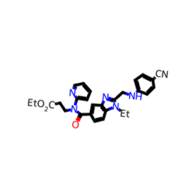 CCOC(=O)CCN(C(=O)c1ccc2c(c1)nc(CNc1ccc(C#N)cc1)n2CC)c1ccccn1